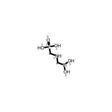 O=P(O)(O)CNCB(O)O